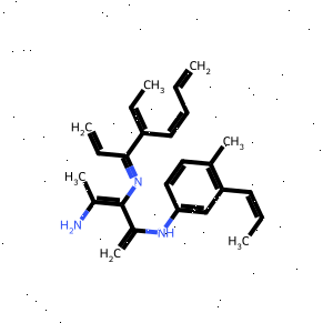 C=C\C=C/C(=C\C)C(/C=C)=N/C(C(=C)Nc1ccc(C)c(/C=C\C)c1)=C(\C)N